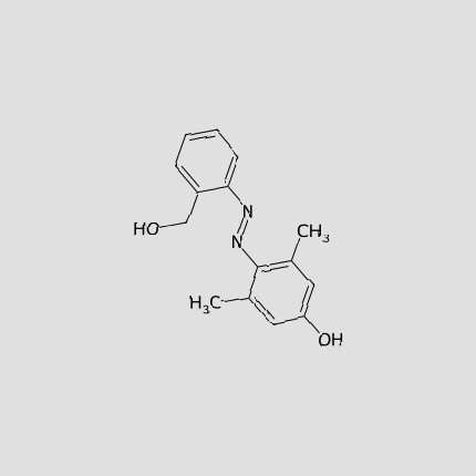 Cc1cc(O)cc(C)c1N=Nc1ccccc1CO